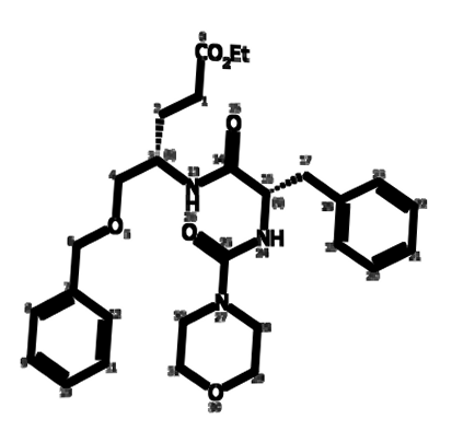 CCOC(=O)CC[C@@H](COCc1ccccc1)NC(=O)[C@H](Cc1ccccc1)NC(=O)N1CCOCC1